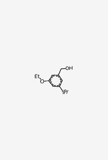 CCOc1cc(CO)cc(C(C)C)c1